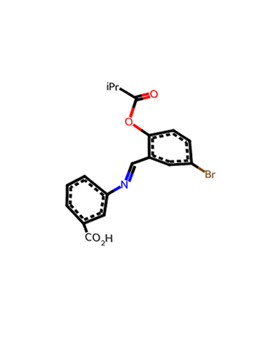 CC(C)C(=O)Oc1ccc(Br)cc1C=Nc1cccc(C(=O)O)c1